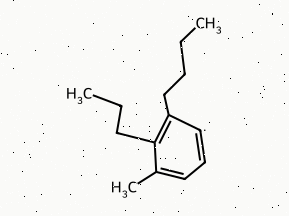 CCCCc1[c]ccc(C)c1CCC